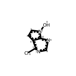 On1ccc2c(Cl)ncnc21